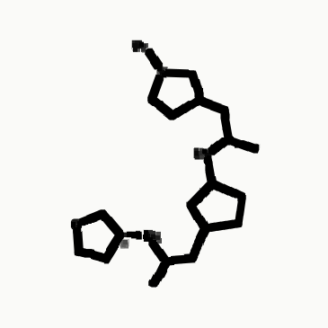 CC(CC1CCN(C(C)C)C1)NC1CCC(CC(C)N[C@@H]2CCOC2)C1